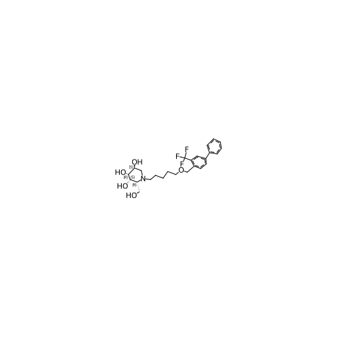 OC[C@@H]1[C@H](O)[C@H](O)[C@@H](O)CN1CCCCCOCc1ccc(-c2ccccc2)cc1C(F)(F)F